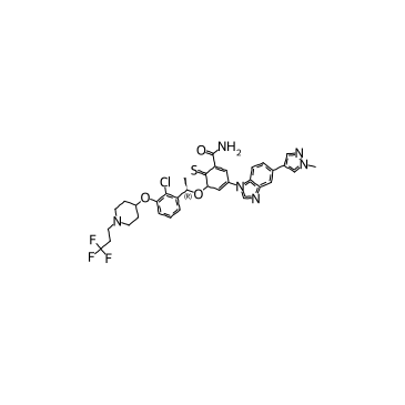 C[C@@H](OC1C=C(n2cnc3cc(-c4cnn(C)c4)ccc32)C=C(C(N)=O)C1=S)c1cccc(OC2CCN(CCC(F)(F)F)CC2)c1Cl